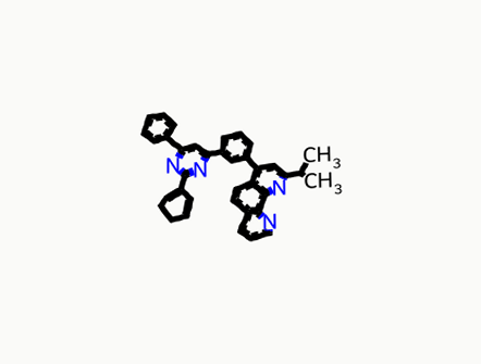 CC(C)c1cc(-c2cccc(-c3cc(-c4ccccc4)nc(C4=CCCC=C4)n3)c2)c2ccc3cccnc3c2n1